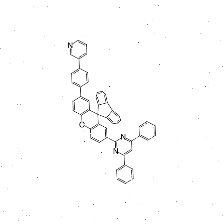 c1ccc(-c2cc(-c3ccccc3)nc(-c3ccc4c(c3)C3(c5cc(-c6ccc(-c7cccnc7)cc6)ccc5O4)c4ccccc4-c4ccccc43)n2)cc1